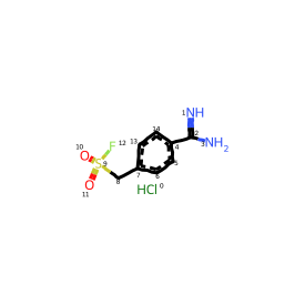 Cl.N=C(N)c1ccc(CS(=O)(=O)F)cc1